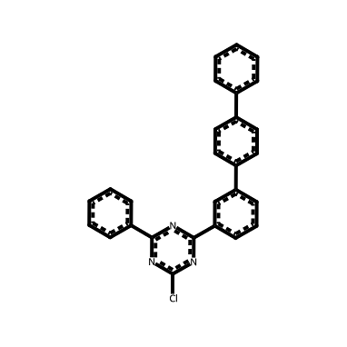 Clc1nc(-c2ccccc2)nc(-c2cccc(-c3ccc(-c4ccccc4)cc3)c2)n1